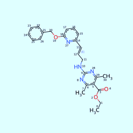 CCOC(=O)c1c(C)nc(NC/C=C/c2cccc(OCc3ccccc3)n2)nc1C